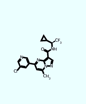 Cc1cc(-c2cncc(Cl)c2)nc2c(C(=O)N[C@@H](C3CC3)C(F)(F)F)cnn12